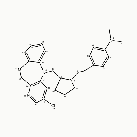 CN(C)c1ccc(CCN2CCCC2CN2c3ccccc3OCc3ncc(Cl)cc32)cc1